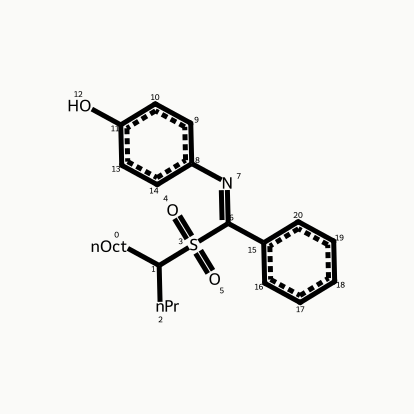 CCCCCCCCC(CCC)S(=O)(=O)C(=Nc1ccc(O)cc1)c1ccccc1